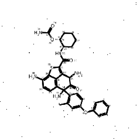 Cc1cc(Oc2ccccc2)ccc1C1(N)C(=O)C(N)c2c(C(=O)N[C@@H]3CCCC[C@H]3OC(N)=O)sc3c(N)ccc1c23